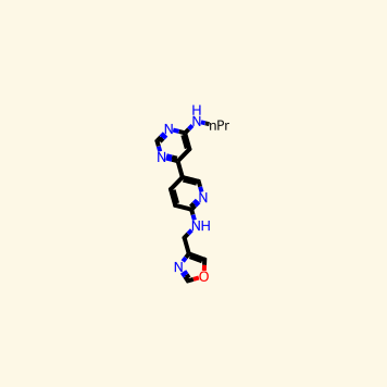 CCCNc1cc(-c2ccc(NCc3cocn3)nc2)ncn1